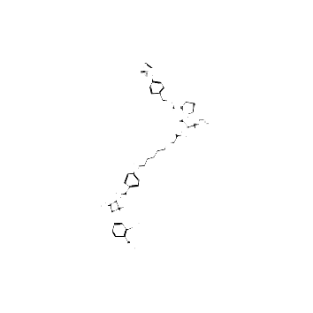 CC(C)(C)[C@H](NC(=O)COCCCCCNc1ccc(C(=O)N[C@H]2C(C)(C)[C@H](Oc3ccc(C#N)c(Cl)c3)C2(C)C)cc1)C(=O)N1C[C@H](O)C[C@H]1C(=O)NCc1ccc(-n2ccnn2)cc1